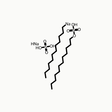 CCCCCCCCCCCCOS(=O)(=O)O.CCCCCCCCCCC[CH2][Na].O=S(=O)(O)O.[NaH]